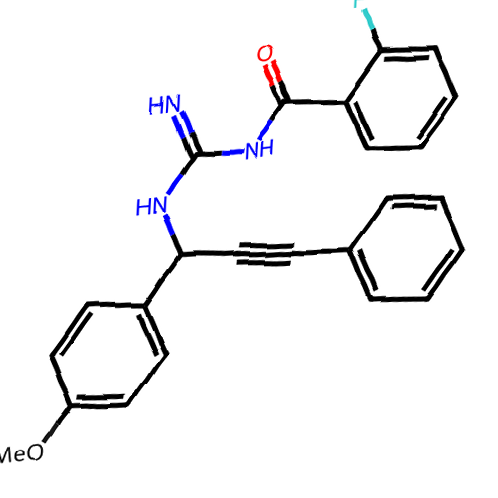 COc1ccc(C(C#Cc2ccccc2)NC(=N)NC(=O)c2ccccc2F)cc1